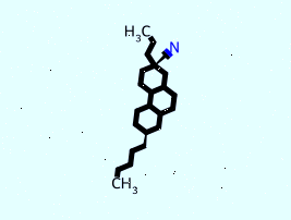 CCCCC[C@H]1CCC2C(CCC3C[C@@](C#N)(CCC)CCC32)C1